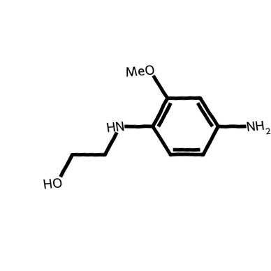 COc1cc(N)ccc1NCCO